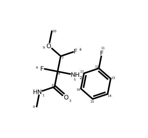 CNC(=O)C(N)(F)C(F)OC.Fc1ccccc1